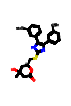 COc1cccc(-c2nc(SC[C@@H]3CC(C)(O)CC(=O)O3)[nH]c2-c2cccc(OC)c2)c1